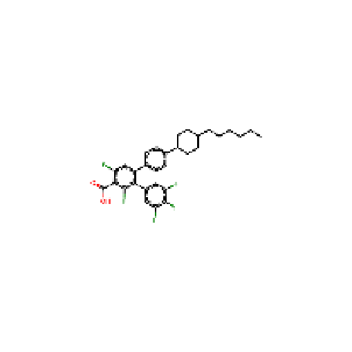 CCCCCCC1CCC(c2ccc(-c3cc(F)c(C(=O)O)c(F)c3-c3cc(F)c(F)c(F)c3)cc2)CC1